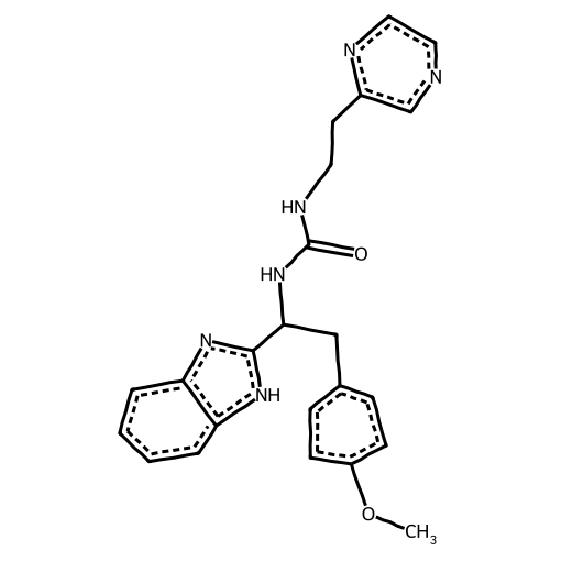 COc1ccc(CC(NC(=O)NCCc2cnccn2)c2nc3ccccc3[nH]2)cc1